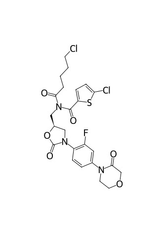 O=C(CCCCCl)N(C[C@H]1CN(c2ccc(N3CCOCC3=O)cc2F)C(=O)O1)C(=O)c1ccc(Cl)s1